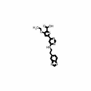 CCOc1cc(-c2cc(NCCc3ccc4scnc4c3)ncn2)sc1C(=O)O